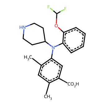 Cc1cc(C)c(N(c2ccccc2OC(F)F)C2CCNCC2)cc1C(=O)O